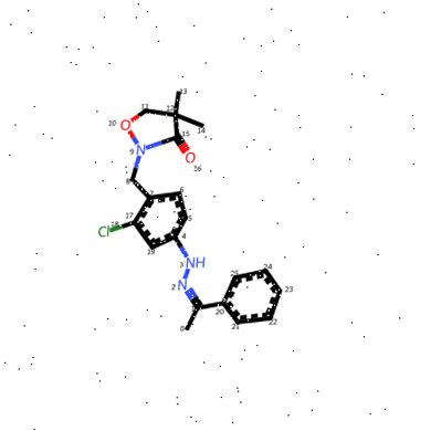 CC(=NNc1ccc(CN2OCC(C)(C)C2=O)c(Cl)c1)c1ccccc1